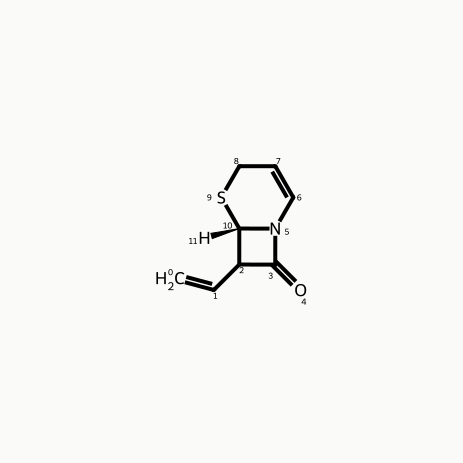 C=CC1C(=O)N2C=CCS[C@@H]12